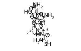 CC(C)CC(NC(=O)C(C)NC(=O)C(N)CS)C(=O)NC(CC(N)=O)C(=O)NC(CC(N)=O)C(=O)O